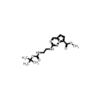 COC(=O)c1ccc2cnc(NCCNC(=O)OC(C)(C)C)nn12